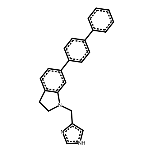 c1ccc(-c2ccc(-c3ccc4c(c3)N(Cc3c[nH]cn3)CC4)cc2)cc1